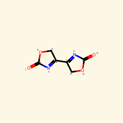 O=C1N=C(C2=NC(=O)OC2)CO1